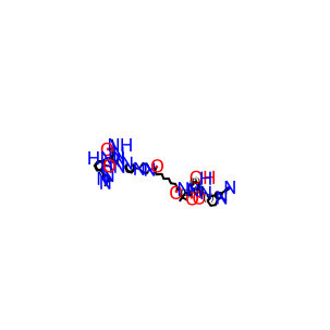 CNC(=O)c1nnc(Nc2ccc(N3CCN(C(=O)CCCCCCC(=O)N[C@H](C(=O)N4C[C@H](O)C[C@H]4C(=O)N[C@H]4CCCc5c4cc(C#N)n5C)C(C)(C)C)CC3)cn2)cc1Nc1cccc(-c2ncn(C)n2)c1OC